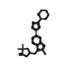 Cc1cc2cc(-c3cnn(C4CCCCO4)c3)ccc2n1CC1CNC(C)(C)C1